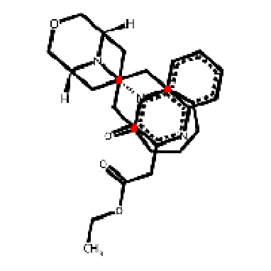 CCOC(=O)Cc1nc2ccccc2n([C@H]2C[C@H]3COC[C@@H](C2)N3C2CC3CCCCC(C3)C2)c1=O